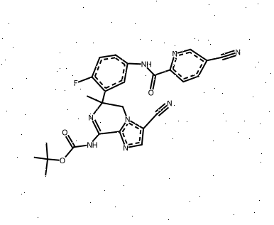 CC(C)(C)OC(=O)NC1=NC(C)(c2cc(NC(=O)c3ccc(C#N)cn3)ccc2F)Cn2c(C#N)cnc21